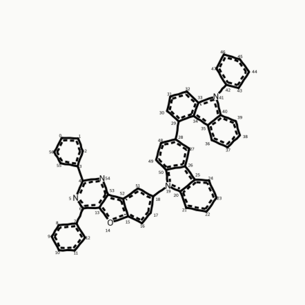 c1ccc(-c2nc(-c3ccccc3)c3oc4ccc(-n5c6ccccc6c6cc(-c7cccc8c7c7ccccc7n8-c7ccccc7)ccc65)cc4c3n2)cc1